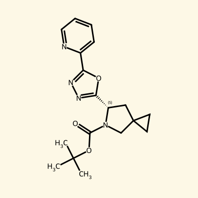 CC(C)(C)OC(=O)N1CC2(CC2)C[C@H]1c1nnc(-c2ccccn2)o1